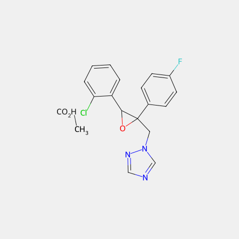 CC(=O)O.Fc1ccc(C2(Cn3cncn3)OC2c2ccccc2Cl)cc1